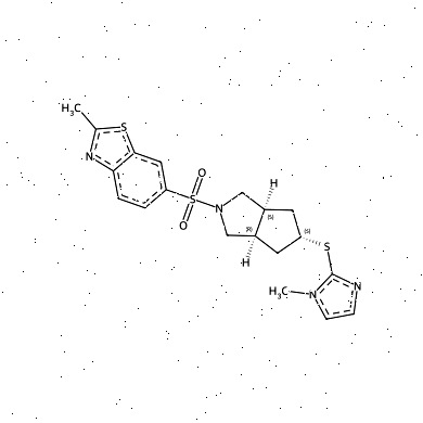 Cc1nc2ccc(S(=O)(=O)N3C[C@H]4C[C@H](Sc5nccn5C)C[C@H]4C3)cc2s1